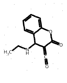 CCNC1C(=C=O)C(=O)Oc2ccccc21